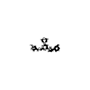 Cc1cccc(-c2ccn(-c3cc(N4CCOCC4)nc(COCc4cnn(C)c4)n3)n2)c1